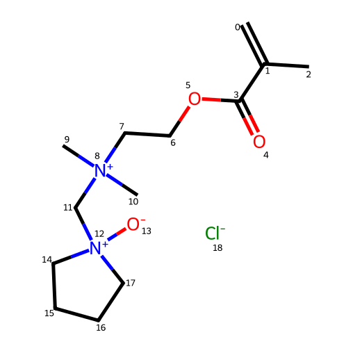 C=C(C)C(=O)OCC[N+](C)(C)C[N+]1([O-])CCCC1.[Cl-]